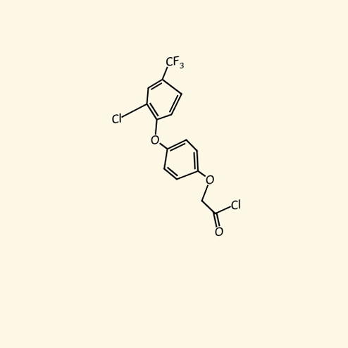 O=C(Cl)COc1ccc(Oc2ccc(C(F)(F)F)cc2Cl)cc1